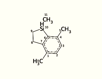 Cc1ccc(C)c2c1CC[SiH]2C